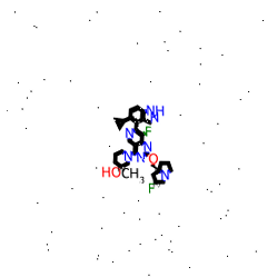 C[C@@]1(O)CCCN(c2nc(OC[C@@]34CCCN3C[C@H](F)C4)nc3c(F)c(-c4c(C5CC5)ccc5[nH]ncc45)ncc23)C1